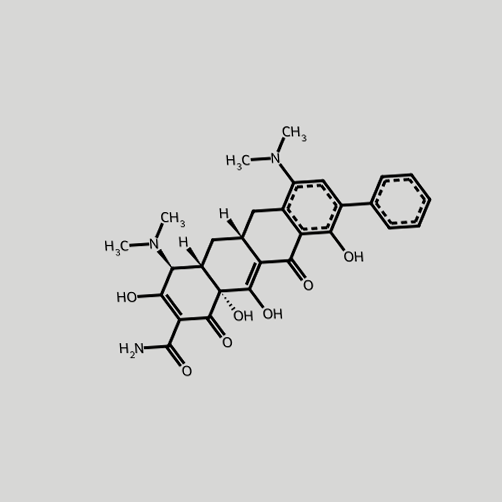 CN(C)c1cc(-c2ccccc2)c(O)c2c1C[C@H]1C[C@H]3[C@H](N(C)C)C(O)=C(C(N)=O)C(=O)[C@]3(O)C(O)=C1C2=O